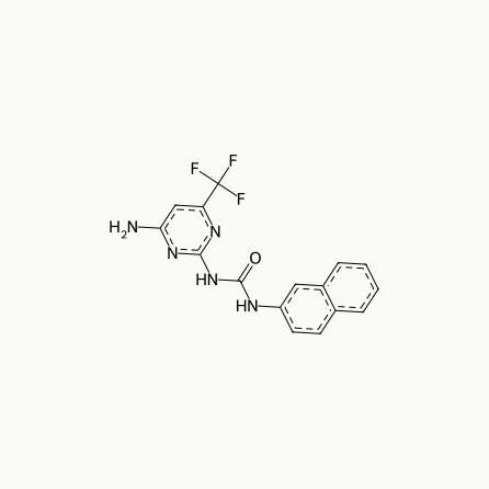 Nc1cc(C(F)(F)F)nc(NC(=O)Nc2ccc3ccccc3c2)n1